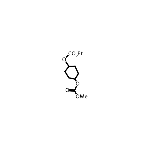 CCOC(=O)OC1CCC(OC(=O)OC)CC1